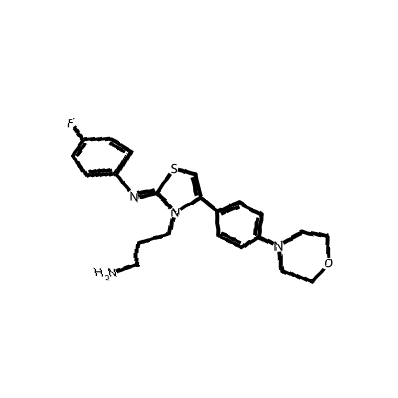 NCCCn1c(-c2ccc(N3CCOCC3)cc2)csc1=Nc1ccc(F)cc1